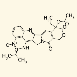 CCC1(OC(C)=O)C(=O)OCc2c1cc1n(c2=O)Cc2c-1nc1cccc([N+](=O)[O-])c1c2NCC(C)C